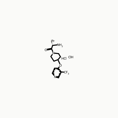 CC(C)[C@H](N)C(=O)N1CCC(Oc2ccncc2C(F)(F)F)CC1.Cl.Cl